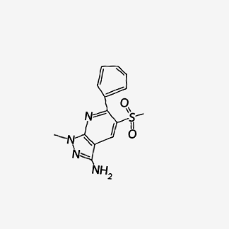 Cn1nc(N)c2cc(S(C)(=O)=O)c(-c3ccccc3)nc21